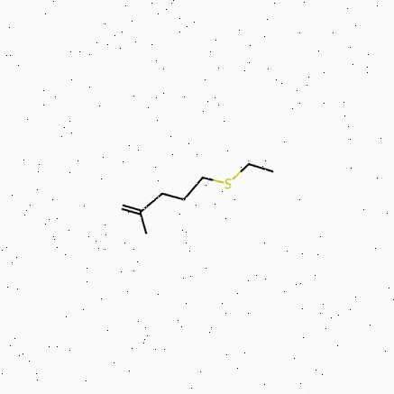 C=C(C)CCCS[CH]C